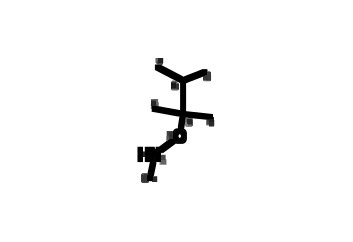 [CH2]NOC(C)(C)C(C)C